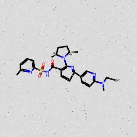 Cc1cccc(S(=O)(=O)NC(=O)c2ccc(-c3ccc(N(C)CC(C)C)nc3)nc2N2[C@H](C)CC[C@@H]2C)n1